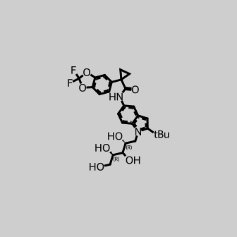 CC(C)(C)c1cc2cc(NC(=O)C3(c4ccc5c(c4)OC(F)(F)O5)CC3)ccc2n1C[C@@H](O)C(O)[C@H](O)CO